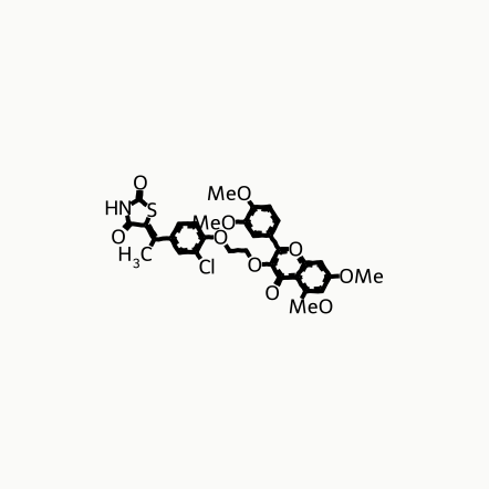 COc1cc(OC)c2c(=O)c(OCCOc3ccc(/C(C)=C4\SC(=O)NC4=O)cc3Cl)c(-c3ccc(OC)c(OC)c3)oc2c1